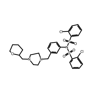 O=S(=O)(c1ccccc1Cl)N(c1cccc(CN2CCN(CC3CCCCO3)CC2)c1)S(=O)(=O)c1ccccc1Cl